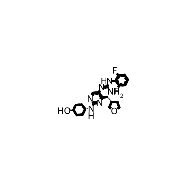 N/C(=N\c1cnc(N[C@H]2CC[C@H](O)CC2)nc1C[C@@H]1CCOC1)Nc1c(F)cccc1F